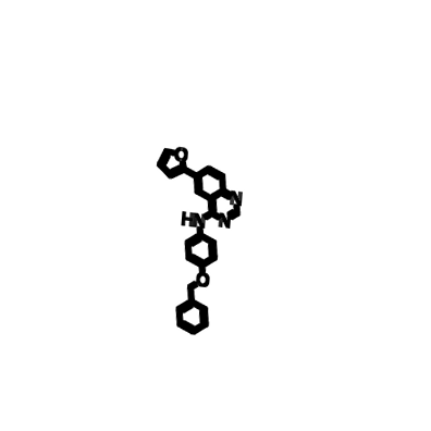 c1ccc(COc2ccc(Nc3ncnc4ccc(-c5ccco5)cc34)cc2)cc1